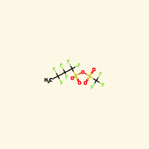 CC(F)(F)C(F)(F)C(F)(F)S(=O)(=O)OS(=O)(=O)C(F)(F)F